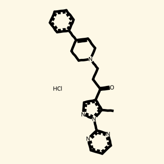 Cc1c(C(=O)CCN2CC=C(c3ccccc3)CC2)cnn1-c1ncccn1.Cl